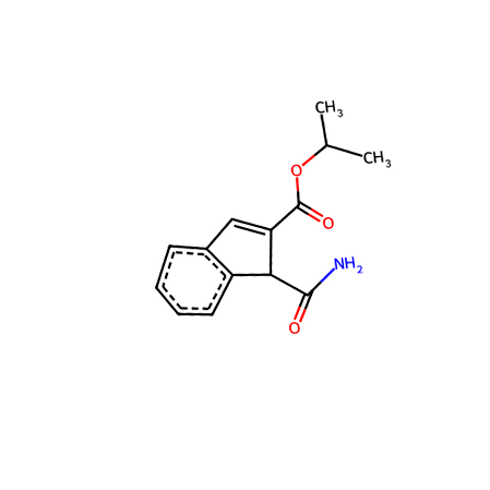 CC(C)OC(=O)C1=Cc2ccccc2C1C(N)=O